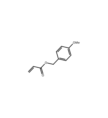 C=CC(=O)OCc1ccc(OC)cc1